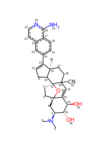 CN(C)[C@H]1C[C@@]23CC[C@]4(O2)C2CC=C(c5ccc6c(N)nccc6c5)[C@@]2(C)CCC4(C#N)C=C3[C@@H](O)[C@@H]1O